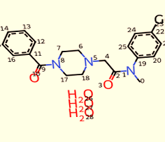 CN(C(=O)CN1CCN(C(=O)c2ccccc2)CC1)c1cc[c]([Ge])cc1.O.O.O